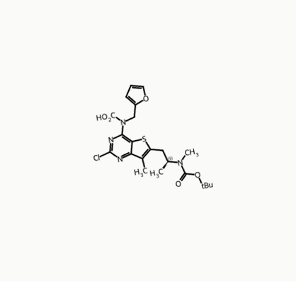 Cc1c(C[C@H](C)N(C)C(=O)OC(C)(C)C)sc2c(N(Cc3ccco3)C(=O)O)nc(Cl)nc12